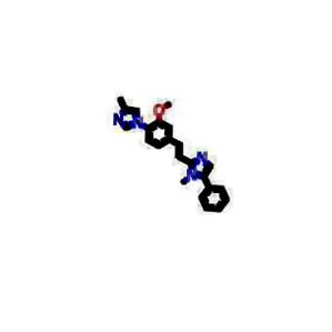 COc1cc(/C=C/c2ncc(-c3ccccc3)n2C)ccc1-n1cnc(C)c1